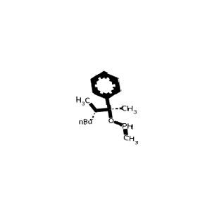 CCCC[C@H](C)[C@](C)(OPC)c1ccccc1